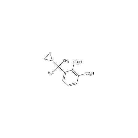 CC(C)(c1cccc(C(=O)O)c1C(=O)O)C1CO1